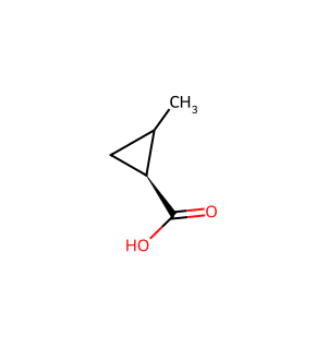 CC1C[C@@H]1C(=O)O